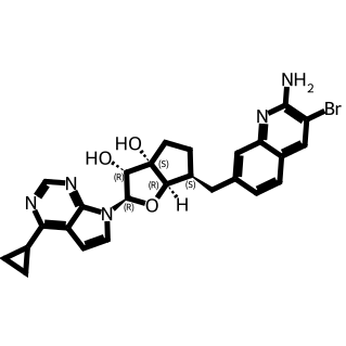 Nc1nc2cc(C[C@@H]3CC[C@@]4(O)[C@@H]3O[C@@H](n3ccc5c(C6CC6)ncnc53)[C@@H]4O)ccc2cc1Br